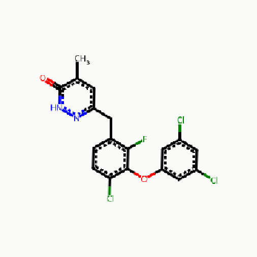 Cc1cc(Cc2ccc(Cl)c(Oc3cc(Cl)cc(Cl)c3)c2F)n[nH]c1=O